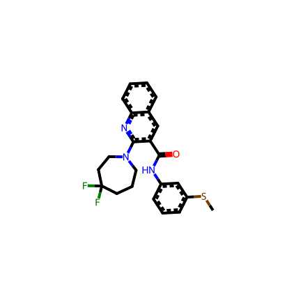 CSc1cccc(NC(=O)c2cc3ccccc3nc2N2CCCC(F)(F)CC2)c1